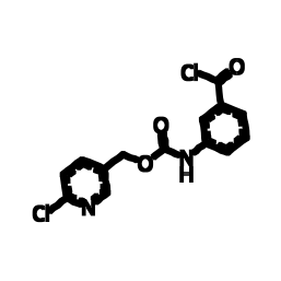 O=C(Nc1cccc(C(=O)Cl)c1)OCc1ccc(Cl)nc1